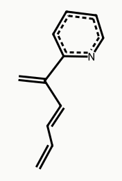 C=CC=CC(=C)c1ccccn1